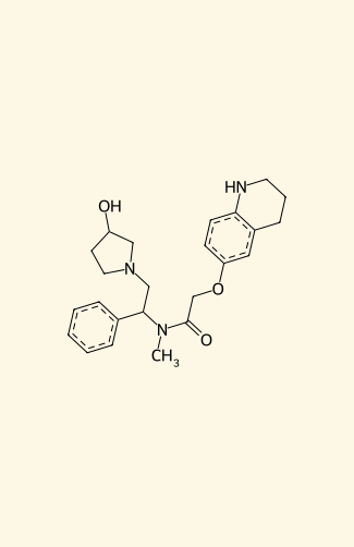 CN(C(=O)COc1ccc2c(c1)CCCN2)C(CN1CCC(O)C1)c1ccccc1